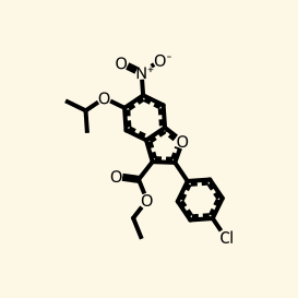 CCOC(=O)c1c(-c2ccc(Cl)cc2)oc2cc([N+](=O)[O-])c(OC(C)C)cc12